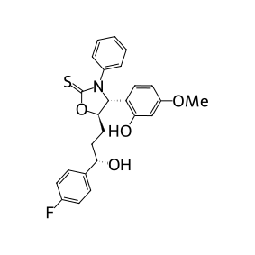 COc1ccc([C@@H]2[C@@H](CC[C@H](O)c3ccc(F)cc3)OC(=S)N2c2ccccc2)c(O)c1